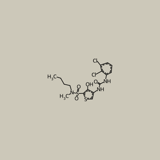 CCCCN(C)S(=O)(=O)c1scc(NC(=O)Nc2cccc(Cl)c2Cl)c1O